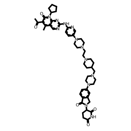 CC(=O)c1c(C)c2cnc(Nc3ccc(N4CCN(CCN5CCC(CN6CCN(c7ccc8c(c7)CN(C7CCC(=O)NC7=O)C8=O)CC6)CC5)CC4)cn3)nc2n(C2CCCC2)c1=O